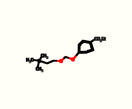 CCOC(=O)c1ccc(OCOCC[Si](C)(C)C)cc1